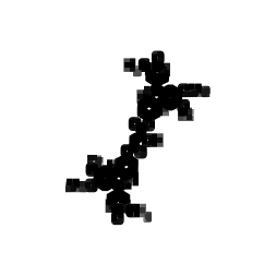 CCOc1cc2c(cc1OC)C(c1cnc(=O)n(C)c1)=N[C@H]1CC[C@H](OC(=O)CC(O)C(=O)O[C@H]3CC[C@@H]4N=C(c5cnc(=O)n(C)c5)c5cc(OC)c(OCC)cc5[C@@H]4C3)C[C@@H]21